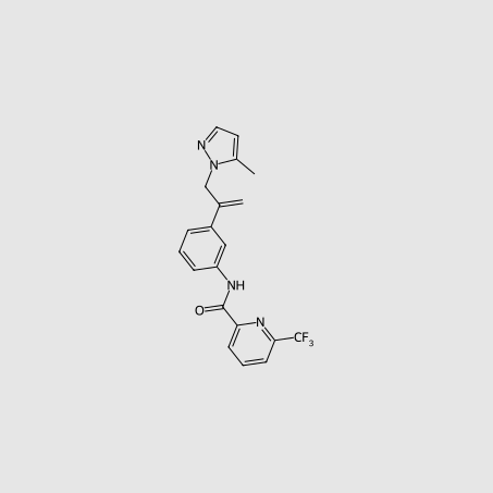 C=C(Cn1nccc1C)c1cccc(NC(=O)c2cccc(C(F)(F)F)n2)c1